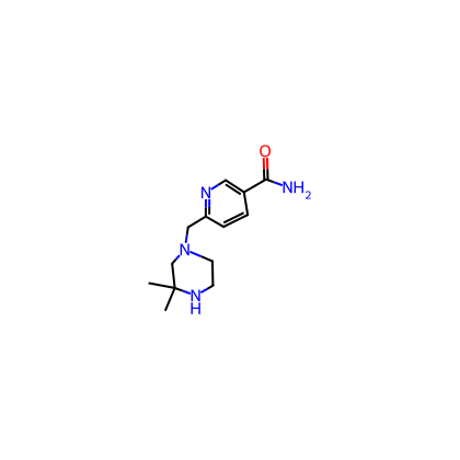 CC1(C)CN(Cc2ccc(C(N)=O)cn2)CCN1